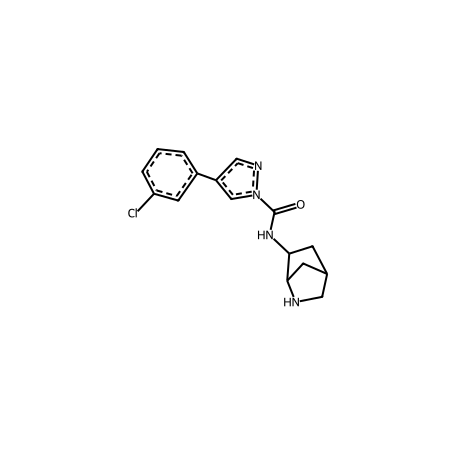 O=C(NC1CC2CNC1C2)n1cc(-c2cccc(Cl)c2)cn1